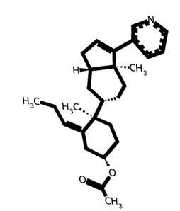 CC/C=C1/C[C@@H](OC(C)=O)CC[C@]1(C)[C@H]1CC[C@]2(C)C(c3cccnc3)=CC[C@H]2C1